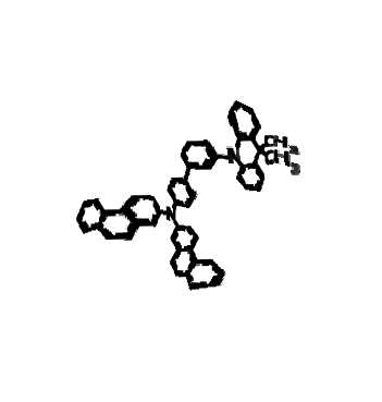 CC1(C)c2ccccc2N(c2cccc(-c3ccc(N(c4ccc5c(ccc6ccccc65)c4)c4ccc5c(ccc6ccccc65)c4)cc3)c2)c2ccccc21